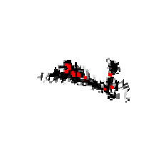 CC[C@]1(O)CC2C[N@@](CCc3c([nH]c4ccccc34)[C@@](C(=O)OC)(c3cc4c(cc3OC)N(C)[C@H]3[C@@](O)(C(=O)NNC(=O)OCc5ccc(NC(=O)[C@H](CCCNC(N)=O)NC(=O)[C@@H](NC(=O)CCCCCN6C(=O)C=CC6=O)C(C)C)cc5)[C@H](O)[C@]5(CC)C=CCN6CC[C@]43[C@@H]65)C2)C1